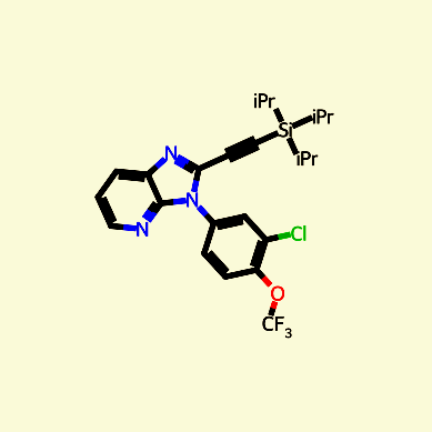 CC(C)[Si](C#Cc1nc2cccnc2n1-c1ccc(OC(F)(F)F)c(Cl)c1)(C(C)C)C(C)C